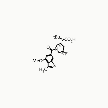 COc1cc(C(=O)N2C[C@H](F)C[C@@H](N(C(=O)O)C(C)(C)C)C2)cc2scc(C)c12